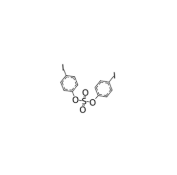 O=S(=O)(Oc1ccc(I)cc1)Oc1ccc(I)cc1